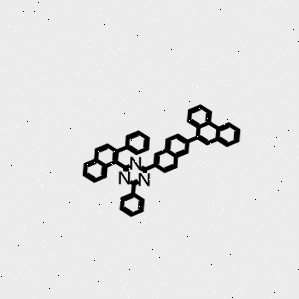 c1ccc(-c2nc(-c3ccc4cc(-c5cc6ccccc6c6ccccc56)ccc4c3)nc(-c3c(-c4ccccc4)ccc4ccccc34)n2)cc1